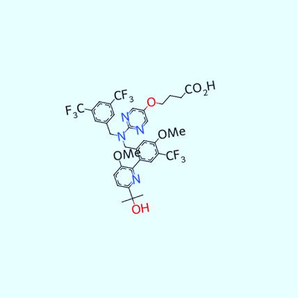 COc1cc(CN(Cc2cc(C(F)(F)F)cc(C(F)(F)F)c2)c2ncc(OCCCC(=O)O)cn2)c(-c2nc(C(C)(C)O)ccc2OC)cc1C(F)(F)F